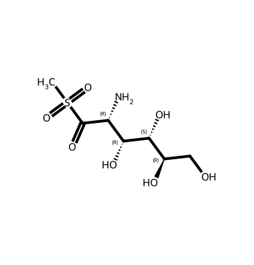 CS(=O)(=O)C(=O)[C@H](N)[C@@H](O)[C@H](O)[C@H](O)CO